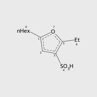 CCCCCCc1cc(S(=O)(=O)O)c(CC)o1